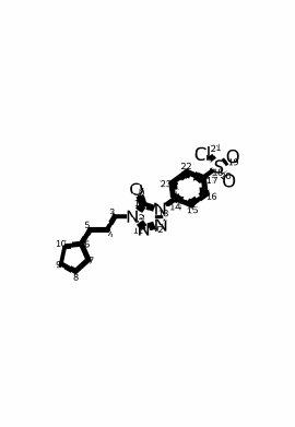 O=c1n(CCCC2CCCC2)nnn1-c1ccc(S(=O)(=O)Cl)cc1